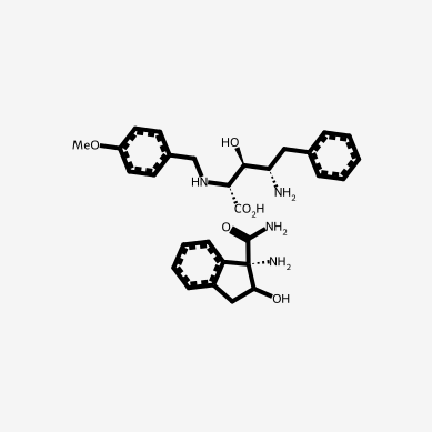 COc1ccc(CN[C@@H](C(=O)O)[C@@H](O)[C@@H](N)Cc2ccccc2)cc1.NC(=O)[C@]1(N)c2ccccc2CC1O